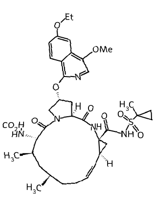 CCOc1ccc2c(O[C@@H]3C[C@H]4C(=O)N[C@]5(C(=O)NS(=O)(=O)C6(C)CC6)C[C@H]5C=CCC[C@@H](C)C[C@@H](C)[C@H](NC(=O)O)C(=O)N4C3)ncc(OC)c2c1